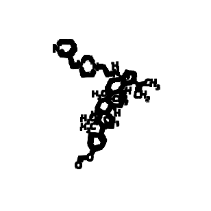 C=C(C)[C@@H]1CC[C@]2(NCCN3CCN(Cc4cccnc4)CC3)CC[C@]3(C)[C@H](CC[C@@H]4[C@@]5(C)CC=C(c6ccc(OC=O)cc6)C(C)(C)[C@@H]5CC[C@]43C)[C@@H]12